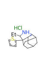 CCC(N)C1(c2cccs2)C2CC3CC(C2)CC1C3.Cl